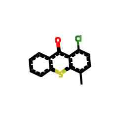 Cc1ccc(Cl)c2c(=O)c3ccccc3sc12